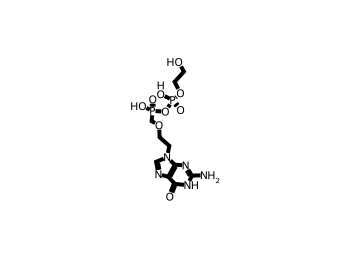 Nc1nc2c(ncn2CCOCP(=O)(O)OP(=O)(O)OCCO)c(=O)[nH]1